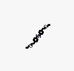 C=CCOCCc1ccc(/N=N/c2ccc(CCOCC=C)cc2)cc1